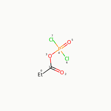 CCC(=O)OP(=O)(Cl)Cl